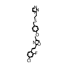 Fc1cc(Cl)ccc1C=Cc1nc(COc2ccc(CSCCn3ccnn3)cc2)co1